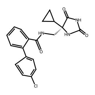 O=C1NC(=O)[C@](CNC(=O)c2ccccc2-c2ccc(Cl)cc2)(C2CC2)N1